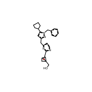 OCC12CC(C1)N(c1nccc(Cc3cc(C4CCCC4)n(Cc4ccccc4)n3)n1)C2